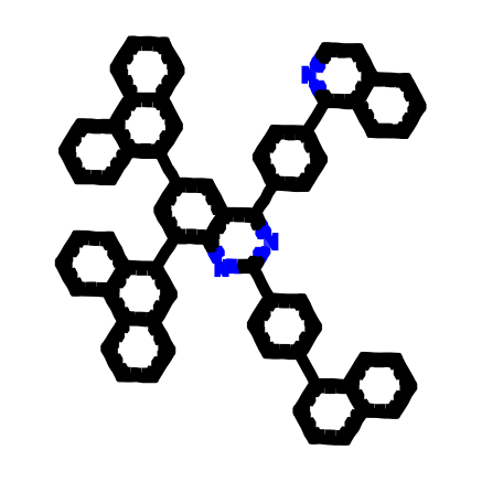 c1ccc2c(-c3ccc(-c4nc(-c5ccc(-c6nccc7ccccc67)cc5)c5cc(-c6cc7ccccc7c7ccccc67)cc(-c6cc7ccccc7c7ccccc67)c5n4)cc3)cccc2c1